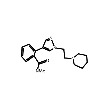 CNC(=O)c1ccccc1-c1cnn(CCN2CCCCC2)c1